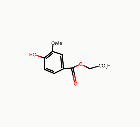 COc1cc(C(=O)OCC(=O)O)ccc1O